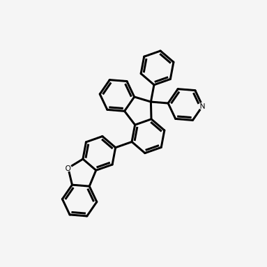 c1ccc(C2(c3ccncc3)c3ccccc3-c3c(-c4ccc5oc6ccccc6c5c4)cccc32)cc1